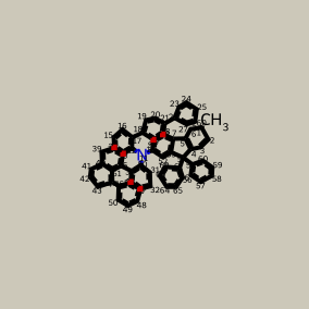 CC1C=CC2=C(C1)c1ccc(N(c3ccccc3-c3ccc(-c4ccccc4)cc3)c3ccccc3-c3cccc4cccc(-c5ccccc5)c34)cc1C2(c1ccccc1)c1ccccc1